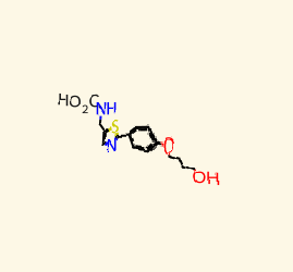 O=C(O)NCc1cnc(-c2ccc(OCCCCO)cc2)s1